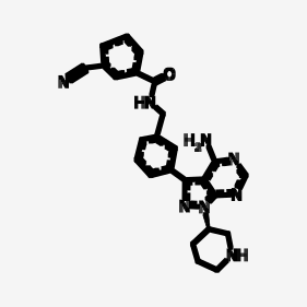 N#Cc1cccc(C(=O)NCc2cccc(-c3nn([C@@H]4CCCNC4)c4ncnc(N)c34)c2)c1